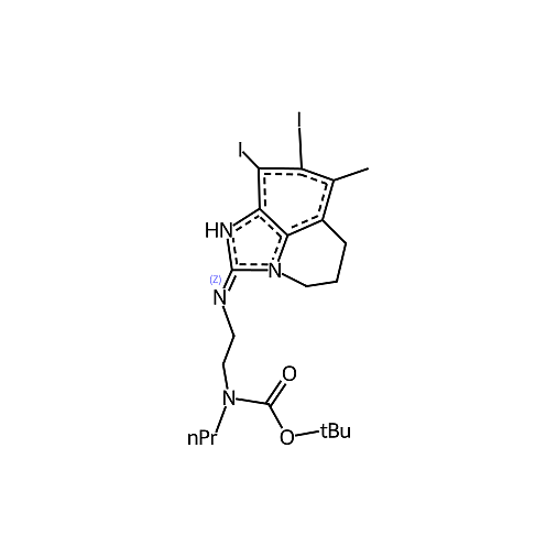 CCCN(CC/N=c1/[nH]c2c(I)c(I)c(C)c3c2n1CCC3)C(=O)OC(C)(C)C